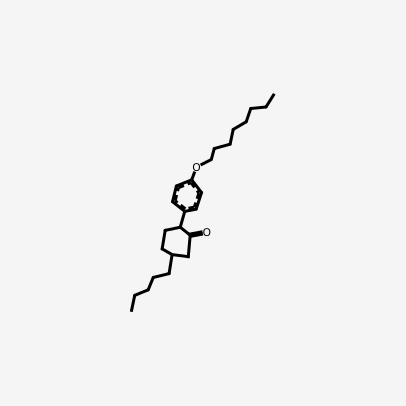 CCCCCCCCOc1ccc(C2CCC(CCCCC)CC2=O)cc1